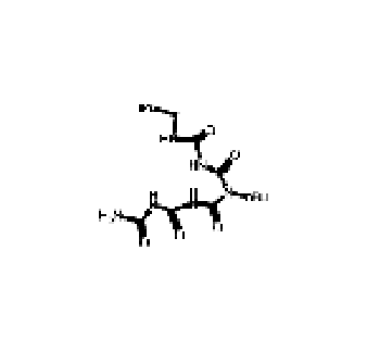 CCCCN(C(=O)NC(=O)NCC(C)C)C(=O)NC(=O)NC(N)=O